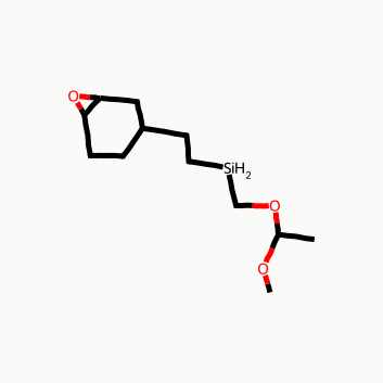 COC(C)OC[SiH2]CCC1CCC2OC2C1